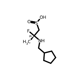 C[C@@](F)(CS(=O)O)NCC1CCCC1